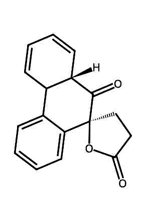 O=C1CC[C@@]2(O1)C(=O)[C@H]1C=CC=CC1c1ccccc12